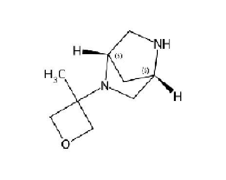 CC1(N2C[C@@H]3C[C@H]2CN3)COC1